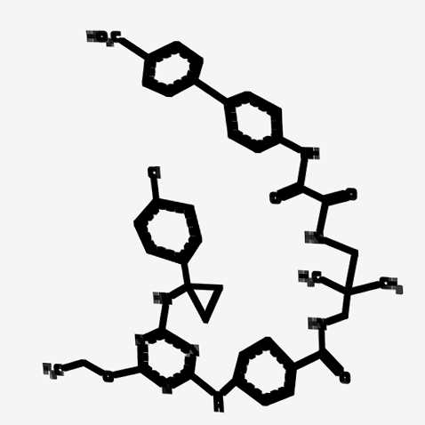 CC(C)(CNC(=O)C(=O)Nc1ccc(-c2ccc(C(=O)O)cc2)cc1)CNC(=O)c1ccc(Nc2nc(NC3(c4ccc(Cl)cc4)CC3)nc(OCC(F)(F)F)n2)cc1